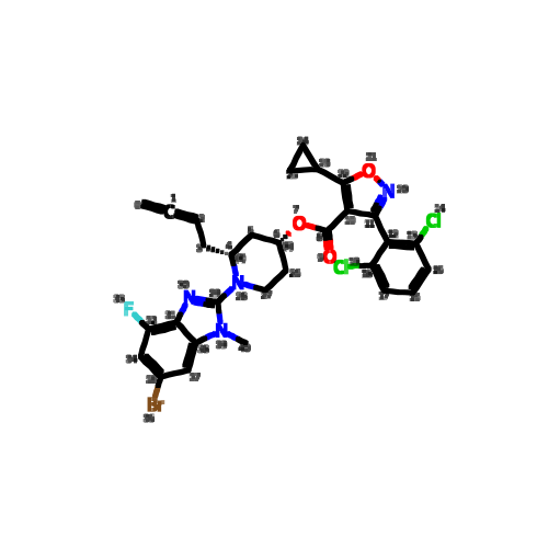 C=C=CC[C@@H]1C[C@H](OC(=O)c2c(-c3c(Cl)cccc3Cl)noc2C2CC2)CCN1c1nc2c(F)cc(Br)cc2n1C